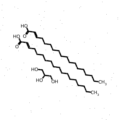 CCCCCCCCCCCCCCCC=CC(=O)O.CCCCCCCCCCCCCCCC=CC(=O)O.OCC(O)CO